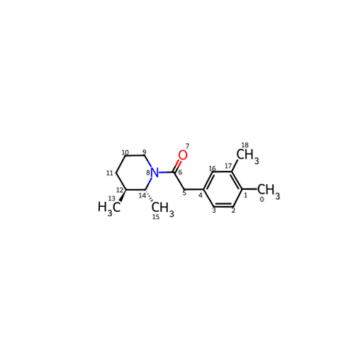 Cc1ccc(CC(=O)N2CCC[C@H](C)[C@H]2C)cc1C